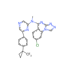 CN(c1cncc(-c2ccc(C3(C(F)(F)F)CC3)cc2)n1)c1nc2nncn2c2cc(Cl)ccc12